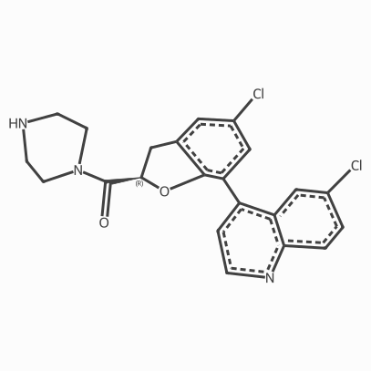 O=C([C@H]1Cc2cc(Cl)cc(-c3ccnc4ccc(Cl)cc34)c2O1)N1CCNCC1